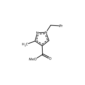 COC(=O)c1cn(CC(C)C)nc1C